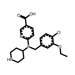 CCOc1cc(CN(c2ccc(C(=O)O)cn2)C2CCNCC2)ccc1Cl